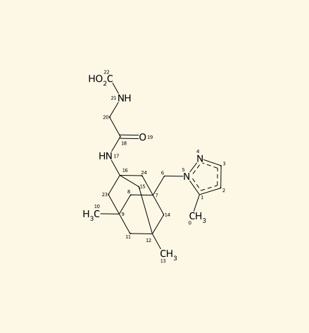 Cc1ccnn1CC12CC3(C)CC(C)(C1)CC(NC(=O)CNC(=O)O)(C3)C2